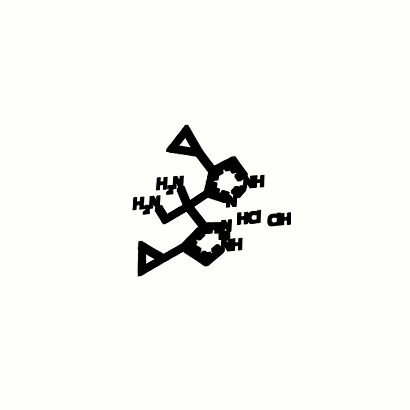 Cl.Cl.NCC(N)(c1n[nH]cc1C1CC1)c1n[nH]cc1C1CC1